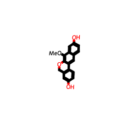 COc1c2c(cc3ccc(O)cc13)-c1ccc(O)cc1CO2